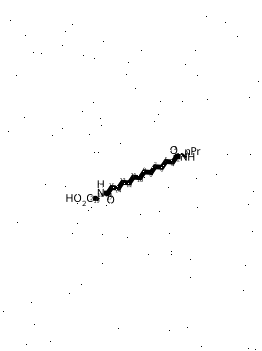 CCCNC(=O)CCCCCCCCCCCCC(=O)NCC(=O)O